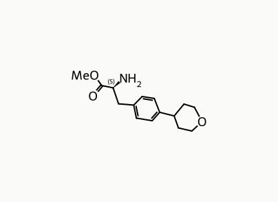 COC(=O)[C@@H](N)Cc1ccc(C2CCOCC2)cc1